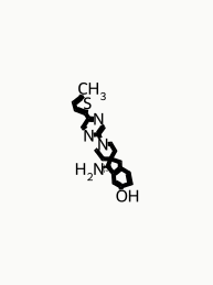 Cc1ccc(-c2cnc(N3CCC4(CC3)Cc3ccc(O)cc3[C@H]4N)cn2)s1